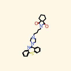 O=C1C2CCCCC2C(=O)N1CCCCN1CCN(C2=Nc3ccccc3Sc3ccccc32)CC1